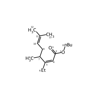 CCCCOC(=O)C=C(CC)C(C)CC=C(C)C